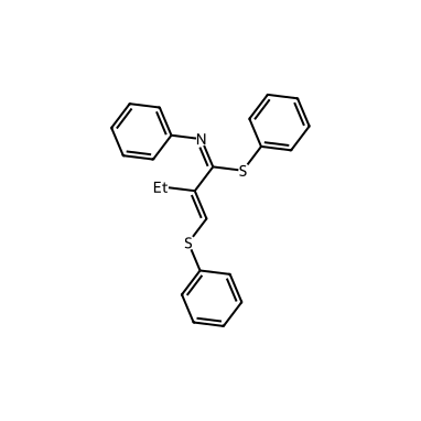 CCC(=C\Sc1ccccc1)/C(=N\c1ccccc1)Sc1ccccc1